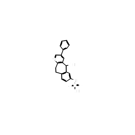 CS(=O)(=O)Nc1ccc2c(c1)C(O)c1cc(-c3ccccc3)cnc1CC2